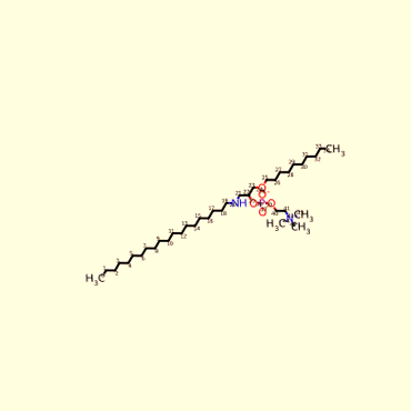 CCCCCCCCCCCCCCCCCCCCNCC(COCCCCCCCCCC)OP(=O)([O-])OCC[N+](C)(C)C